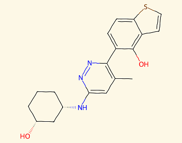 Cc1cc(N[C@H]2CCC[C@@H](O)C2)nnc1-c1ccc2sccc2c1O